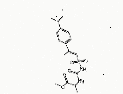 COC(=O)C(C)NC(=O)NS(=O)(=O)C=C(C)c1ccc(C(C)C)cc1